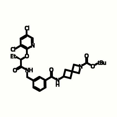 CC[C@@H](Oc1ncc(Cl)cc1Cl)C(=O)NCc1cccc(C(=O)NC2CC3(C2)CN(C(=O)OC(C)(C)C)C3)c1